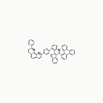 c1ccc(-c2ccc3ccc4ccc(-c5ccc(-c6cccc7nc(-c8cccc9c%10ccccc%10c%10ccccc%10c89)c8c9ccccc9sc8c67)cc5)nc4c3n2)cc1